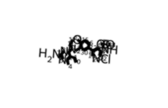 C=Cc1c(C)nc(N)nc1N1CCOc2ccc(-c3cnc(Cl)c(NS(C)(=O)=O)c3)cc2C1